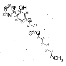 CCCCCCCCOC(=O)CCOc1ccc(-c2ncncn2)c(O)c1